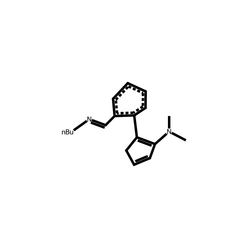 CCCCN=Cc1ccccc1C1=C(N(C)C)C=CC1